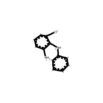 Nc1cccc(Cl)c1Nc1c[c]ccc1